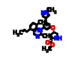 C=CCc1ccc(C)cc1/C=N\C(=C)Nc1cc(O[C@@H]2CN[C@H](C(=O)OC)C2)cc(-c2cnn(C)c2)c1